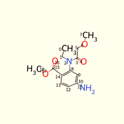 CCN(C(=O)COC)c1cc(N)ccc1C(=O)OC